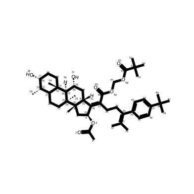 CC(=O)O[C@H]1C[C@@]2(C)[C@H](C[C@@H](O)[C@@H]3[C@@]4(C)CC[C@@H](O)[C@@H](C)C4CC[C@@]32C)C1=C(CCC(=C(C)C)c1ccc(C(C)(C)C)cc1)C(=O)OCOC(=O)C(C)(C)C